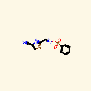 N#Cc1csc(/C=N/OS(=O)(=O)c2ccccc2)n1